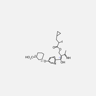 CC(=N)/C(COC(=O)C(I)CC1CC1)=C(\O)c1ccc(O[C@H]2CCC[C@H](C(=O)O)C2)cn1